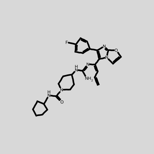 C=C/C=C(\N=C(/N)NC1CCN(C(=O)NC2CCCCC2)CC1)c1c(-c2ccc(F)cc2)nc2occn12